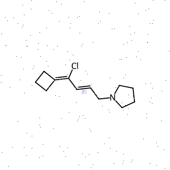 ClC(/C=C/CN1CCCC1)=C1CCC1